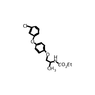 CCOC(=O)NC(C)COc1ccc(Oc2cccc(Cl)c2)cc1